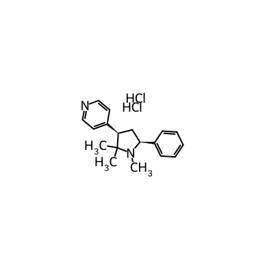 CN1[C@H](c2ccccc2)C[C@H](c2ccncc2)C1(C)C.Cl.Cl